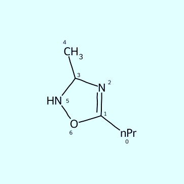 CCCC1=NC(C)NO1